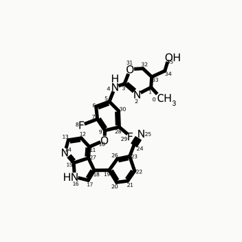 CC1N=C(Nc2cc(F)c(Oc3ccnc4[nH]cc(-c5cccc(C#N)c5)c34)c(F)c2)OCC1CO